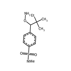 CCC(C)(C)C(ON)c1ccc(S(=O)(=O)NC)cc1